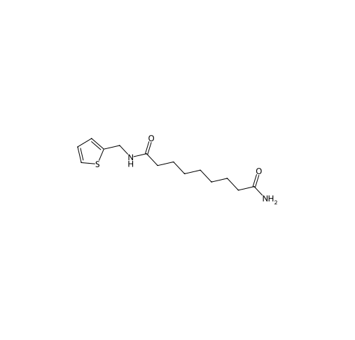 NC(=O)CCCCCCCC(=O)NCc1cccs1